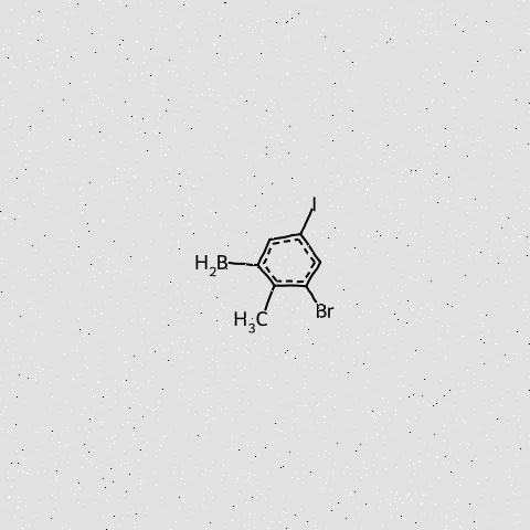 Bc1cc(I)cc(Br)c1C